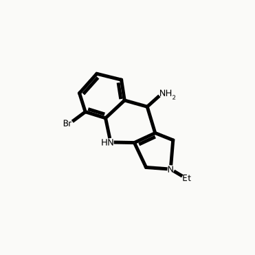 CCN1CC2=C(C1)C(N)c1cccc(Br)c1N2